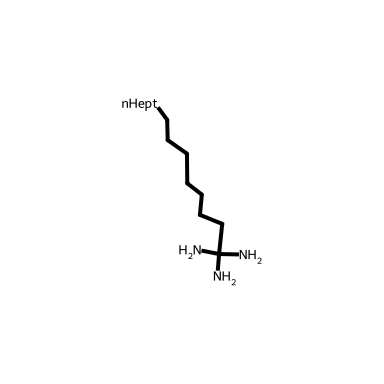 CCCCCCCCCCCCCCC(N)(N)N